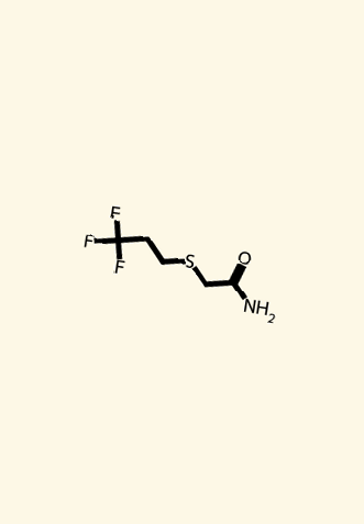 NC(=O)CSCCC(F)(F)F